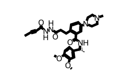 CC#CC(=O)NNC(=O)CCc1ccc(N2CCN(C)CC2)cc1C(=O)N[C@H](C)c1ccc(OC)c(OC)c1